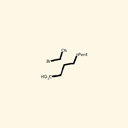 CCCCCCCCC(=O)O.N#CCBr